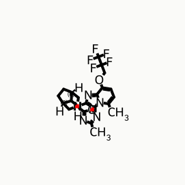 Cc1noc(N2C[C@H]3CC[C@@H](C2)C3Nc2nc3c(OCC(F)(F)C(F)(F)F)ccc(C)n3n2)n1